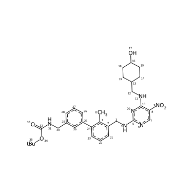 Cc1c(CNc2ncc([N+](=O)[O-])c(NCC3CCC(O)CC3)n2)cccc1-c1cccc(CNC(=O)OC(C)(C)C)c1